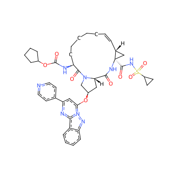 O=C(N[C@H]1CCCCC/C=C\[C@@H]2C[C@@]2(C(=O)NS(=O)(=O)C2CC2)NC(=O)[C@@H]2C[C@@H](Oc3cc(-c4ccncc4)nc4c5ccccc5nn34)CN2C1=O)OC1CCCC1